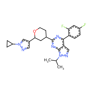 CC(C)n1ncc2c(-c3ccc(F)cc3F)nc(C3CCOC(c4cnn(C5CC5)c4)C3)nc21